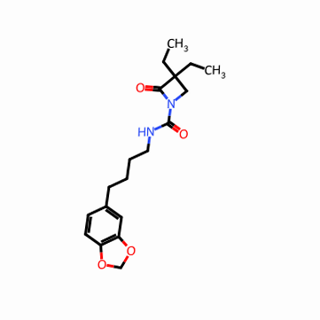 CCC1(CC)CN(C(=O)NCCCCc2ccc3c(c2)OCO3)C1=O